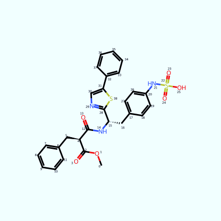 COC(=O)[C@@H](Cc1ccccc1)C(=O)N[C@@H](Cc1ccc(NS(=O)(=O)O)cc1)c1ncc(-c2ccccc2)s1